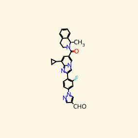 C[C@@H]1c2ccccc2CCN1C(=O)c1cc(C2CC2)c2nc(-c3ccc(-n4cc(C=O)cn4)cc3F)cn2c1